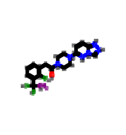 O=C(Cc1cccc(C(F)(F)P)c1F)N1CCN(c2ccc3nncn3n2)CC1